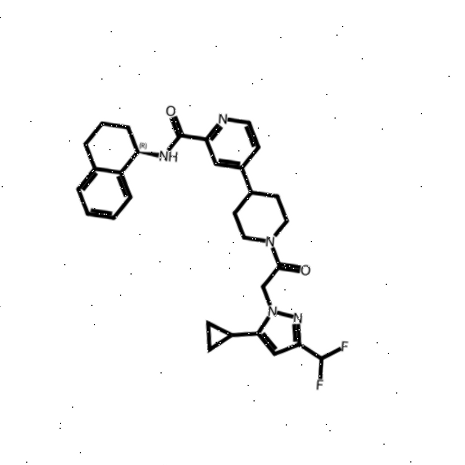 O=C(N[C@@H]1CCCc2ccccc21)c1cc(C2CCN(C(=O)Cn3nc(C(F)F)cc3C3CC3)CC2)ccn1